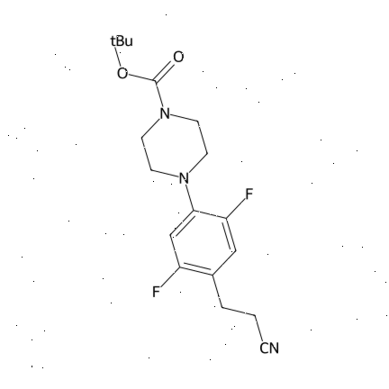 CC(C)(C)OC(=O)N1CCN(c2cc(F)c(CCC#N)cc2F)CC1